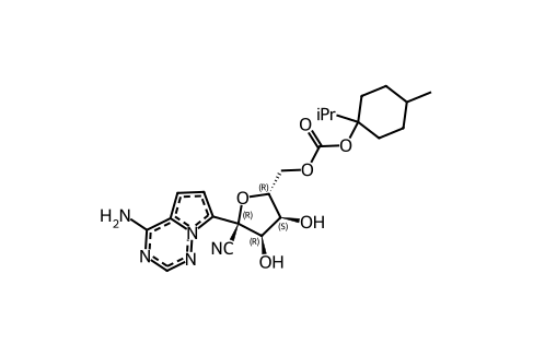 CC1CCC(OC(=O)OC[C@H]2O[C@@](C#N)(c3ccc4c(N)ncnn34)[C@H](O)[C@@H]2O)(C(C)C)CC1